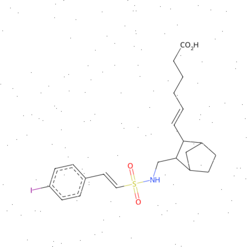 O=C(O)CCCC=CC1C2CCC(C2)C1CNS(=O)(=O)C=Cc1ccc(I)cc1